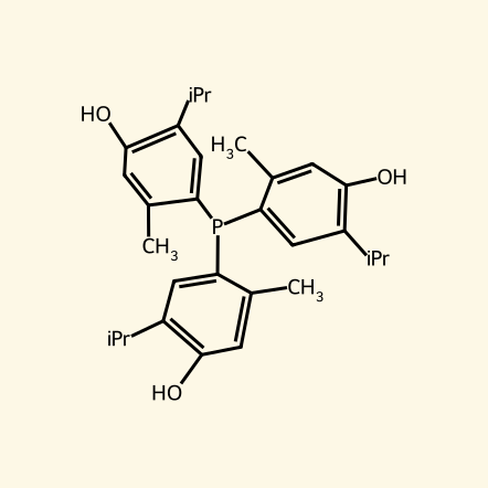 Cc1cc(O)c(C(C)C)cc1P(c1cc(C(C)C)c(O)cc1C)c1cc(C(C)C)c(O)cc1C